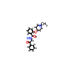 CN1CCC(Oc2ccccc2C(=O)NCC(=O)c2ccccc2)CC1